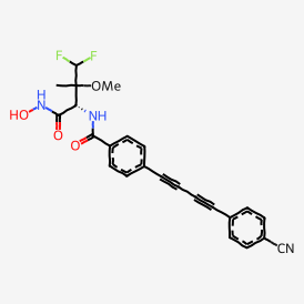 COC(C)(C(F)F)[C@H](NC(=O)c1ccc(C#CC#Cc2ccc(C#N)cc2)cc1)C(=O)NO